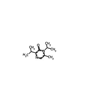 Cc1cnc(C(C)C)c(=O)n1C(C)C